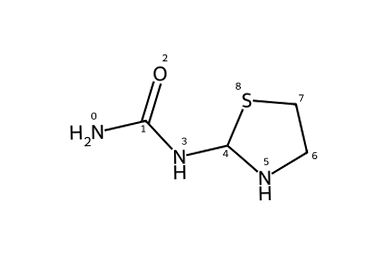 NC(=O)NC1NCCS1